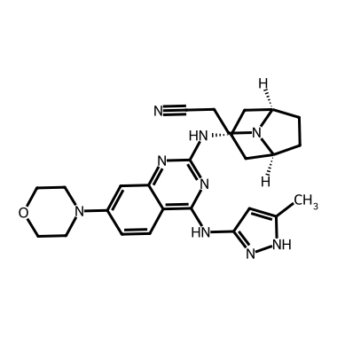 Cc1cc(Nc2nc(N[C@@H]3C[C@H]4CC[C@@H](C3)N4CCC#N)nc3cc(N4CCOCC4)ccc23)n[nH]1